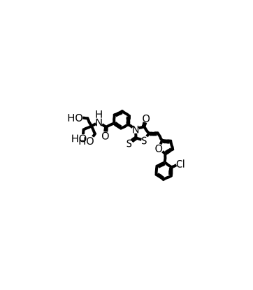 O=C(NC(CO)(CO)CO)c1cccc(N2C(=O)C(=Cc3ccc(-c4ccccc4Cl)o3)SC2=S)c1